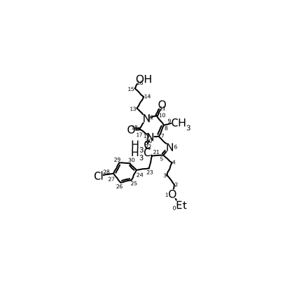 CCOCCC/C(=N/c1c(C)c(=O)n(CCCO)c(=O)n1C)[C@@H](C)Cc1ccc(Cl)cc1